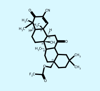 CC1(C)CC[C@]2(COC(=O)C(F)(F)F)CC[C@]3(C)C(C(=O)C[C@@H]4[C@@]5(C)C=C(C#N)C(=O)C(C)(C)[C@@H]5CC[C@]43C)C2C1